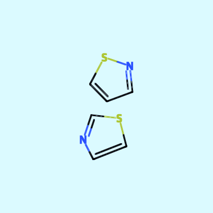 c1cnsc1.c1cscn1